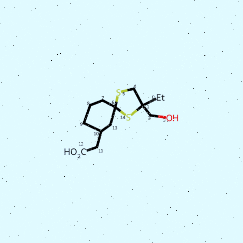 CCC1(CO)CSC2(CCCC(CC(=O)O)C2)S1